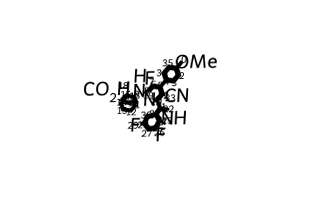 COc1ccc(-c2c(F)c(NC3C4CCC(CC4)C3C(=O)O)nc(-c3c[nH]c4c(F)cc(F)cc34)c2C#N)cc1